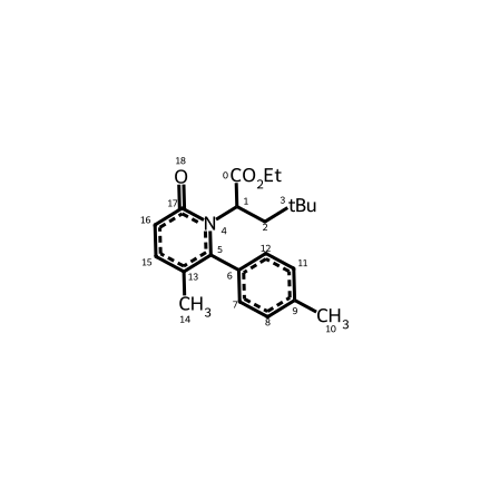 CCOC(=O)C(CC(C)(C)C)n1c(-c2ccc(C)cc2)c(C)ccc1=O